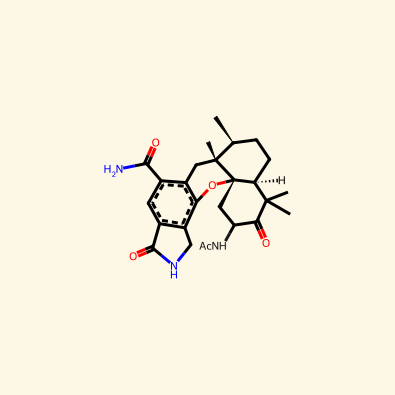 CC(=O)NC1C[C@@]23Oc4c(c(C(N)=O)cc5c4CNC5=O)C[C@]2(C)[C@@H](C)CC[C@H]3C(C)(C)C1=O